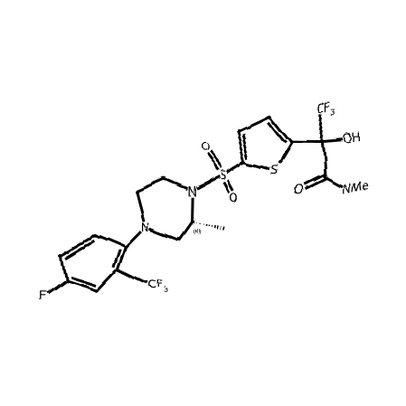 CNC(=O)C(O)(c1ccc(S(=O)(=O)N2CCN(c3ccc(F)cc3C(F)(F)F)C[C@H]2C)s1)C(F)(F)F